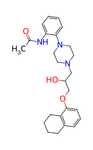 CC(=O)Nc1ccccc1N1CCN(CC(O)COc2cccc3c2CCCC3)CC1